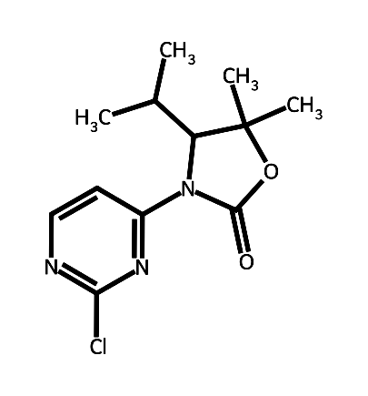 CC(C)C1N(c2ccnc(Cl)n2)C(=O)OC1(C)C